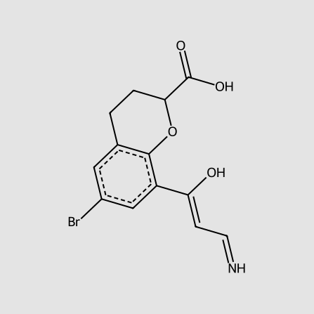 N=C/C=C(\O)c1cc(Br)cc2c1OC(C(=O)O)CC2